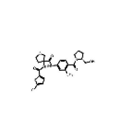 Cc1cc(NC(=O)C2(NC(=O)c3ccc(Cl)s3)CCOC2)ccc1C(=O)N1CCC[C@H]1CO